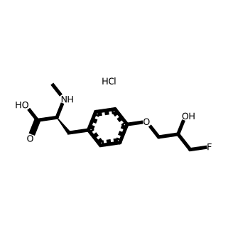 CN[C@@H](Cc1ccc(OCC(O)CF)cc1)C(=O)O.Cl